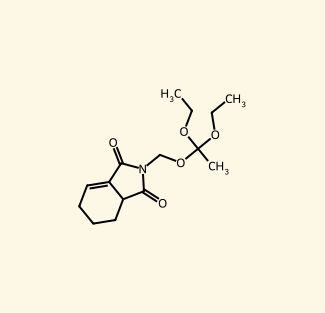 CCOC(C)(OCC)OCN1C(=O)C2=CCCCC2C1=O